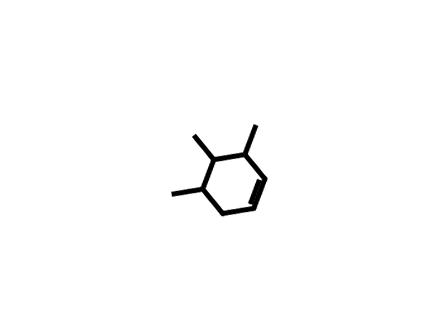 CC1C=CCC(C)C1C